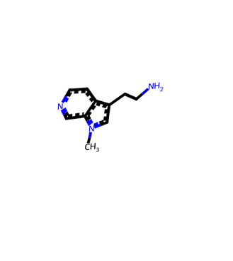 Cn1cc(CCN)c2ccncc21